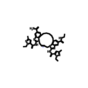 C=C(N)c1cc2c3c(c1)nc(NC(=C)c1cc(C)nn1CC)n3C/C=C/Cn1c(NC(=C)c3cc(C)nn3CC)nc3cc(C(=C)NCC)cc(c31)CCCCC2